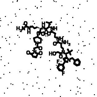 CC(C)[C@H](NC(=O)CCNC(=O)[C@@H](N)CCN(C(=O)CO)[C@@H](c1cc(-c2cc(F)ccc2F)cn1Cc1ccccc1)C(C)(C)C)C(=O)N[C@@H](CCCNC(N)=O)C(=O)OC1CCN(C(=O)CN2C(=O)C=CC2=O)CC1